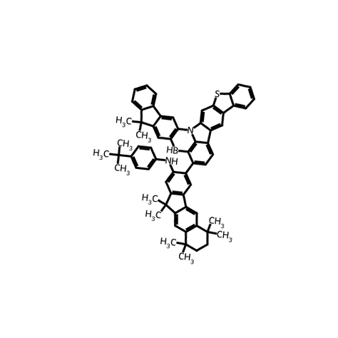 CC(C)(C)c1ccc(Nc2cc3c(cc2-c2ccc4c5cc6c(cc5n5c4c2Bc2cc4c(cc2-5)-c2ccccc2C4(C)C)sc2ccccc26)-c2cc4c(cc2C3(C)C)C(C)(C)CCC4(C)C)cc1